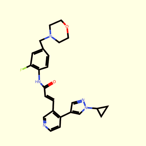 O=C(C=Cc1cnccc1-c1cnn(C2CC2)c1)Nc1ccc(CN2CCOCC2)cc1F